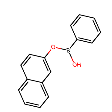 OB(Oc1ccc2ccccc2c1)c1ccccc1